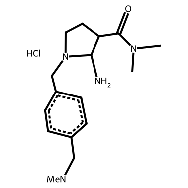 CNCc1ccc(CN2CCC(C(=O)N(C)C)C2N)cc1.Cl